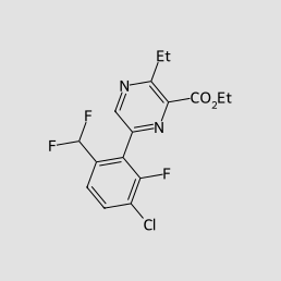 CCOC(=O)c1nc(-c2c(C(F)F)ccc(Cl)c2F)cnc1CC